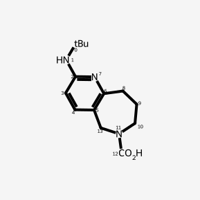 CC(C)(C)Nc1ccc2c(n1)CCCN(C(=O)O)C2